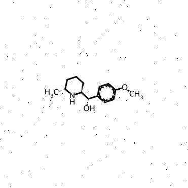 COc1ccc([C@H](O)[C@@H]2CCC[C@@H](C)N2)cc1